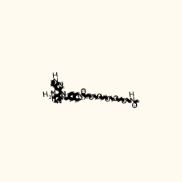 CC(=O)NCCOCCOCCOCCOCCOCCC(=O)N1CCc2cc(Cn3nc(-c4cnc5[nH]ccc5c4)c4c(N)ncnc43)ccc2C1